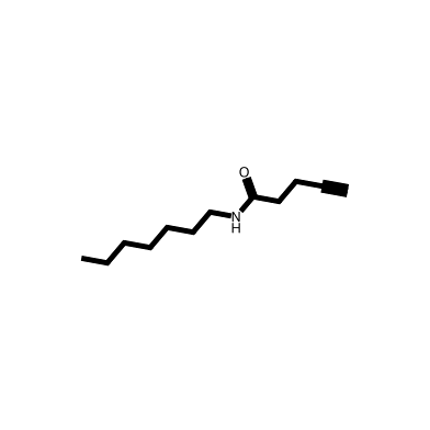 C#CCCC(=O)NCCCCCCC